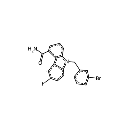 NC(=O)c1cccc2c1c1[c]c(F)ccc1n2Cc1cccc(Br)c1